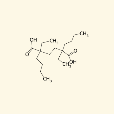 CCCCC(CC)(CCC(CC)(CCCC)C(=O)O)C(=O)O